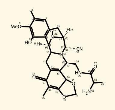 COc1c(C)cc2c(c1O)[C@@H]1C3CC4=C(C5OCOC5=C(C)C4=O)[C@H](CNC(=O)C(C)N)N3[C@@H](C#N)[C@H](C2)N1C